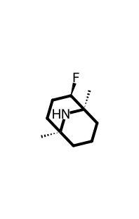 C[C@@]12CCC[C@@](C)(N1)[C@H](F)CC2